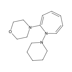 C1=CC=C(N2CCOCC2)N(N2CCCCC2)C=C1